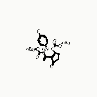 C=C(C1=C(OC(=O)OCCCC)CCC1=O)N(Nc1ccc(F)cc1)C(=O)OCCCC